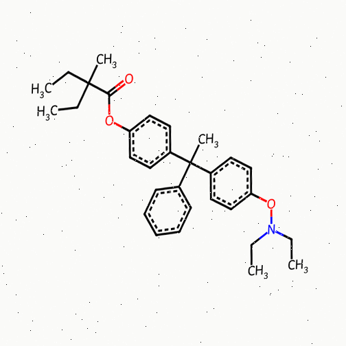 CCN(CC)Oc1ccc(C(C)(c2ccccc2)c2ccc(OC(=O)C(C)(CC)CC)cc2)cc1